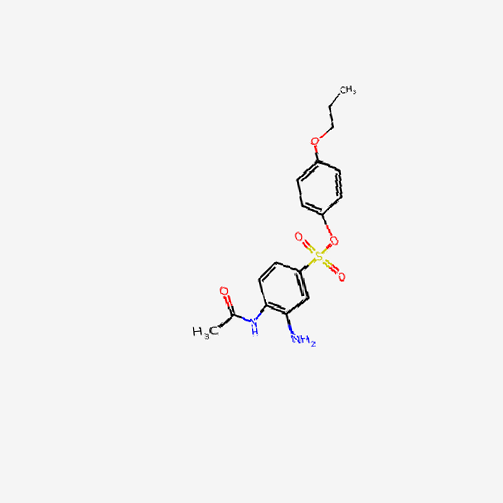 CCCOc1ccc(OS(=O)(=O)c2ccc(NC(C)=O)c(N)c2)cc1